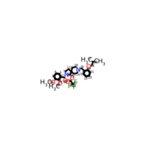 COc1cccc(C(=O)N2CCC3(CCN(Cc4ccccc4OCC(C)C)CC3)C2OC(=O)C(F)(F)F)c1OC